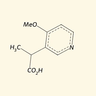 COc1ccncc1C(C)C(=O)O